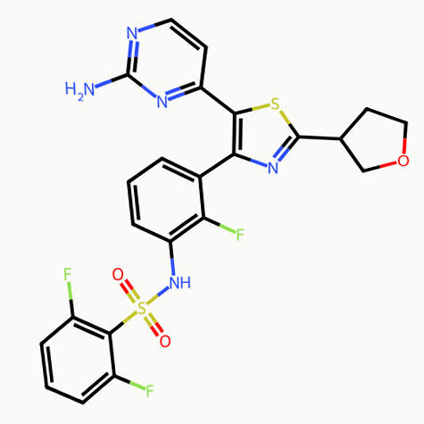 Nc1nccc(-c2sc(C3CCOC3)nc2-c2cccc(NS(=O)(=O)c3c(F)cccc3F)c2F)n1